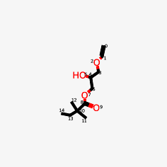 C=COCC(O)COC(=O)C(C)(C)CC